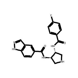 O=C(N[C@@H]1CNC[C@H]1NC(=O)c1ccc2[nH]ncc2c1)c1ccc(F)cc1